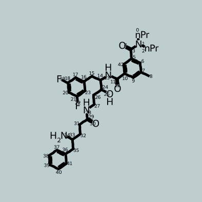 CCCN(CCC)C(=O)c1cc(C)cc(C(=O)NC(Cc2cc(F)cc(F)c2)C(O)CCNC(=O)CCC(N)Cc2ccccc2)c1